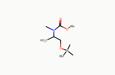 CN(C(=O)OC(C)(C)C)C(CO[Si](C)(C)C(C)(C)C)C(=O)O